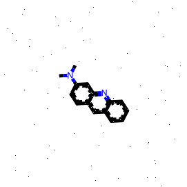 CN(C)c1ccc2cc3ccccc3nc2c1